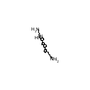 NCCCCCc1cccc(-c2ccc3cc(-c4ccc5nc(CCCCN)[nH]c5c4)ccc3c2)c1